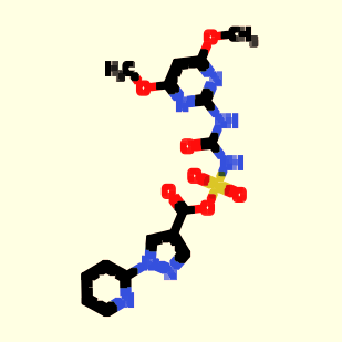 COc1cc(OC)nc(NC(=O)NS(=O)(=O)OC(=O)c2cnn(-c3ccccn3)c2)n1